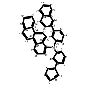 c1ccc(-c2cccc(N(c3cccc(-c4ccc5ccccc5c4)c3)c3cccc4c3ccc3c5ccccc5ccc43)c2)cc1